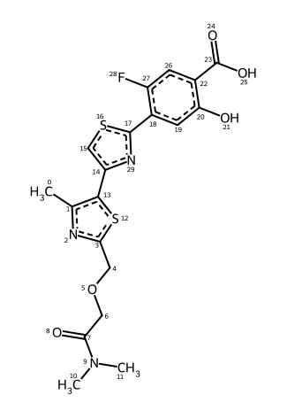 Cc1nc(COCC(=O)N(C)C)sc1-c1csc(-c2cc(O)c(C(=O)O)cc2F)n1